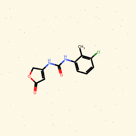 Cc1c(Cl)cccc1NC(=O)NC1=CC(=O)OC1